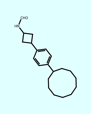 O=CNC1CC(c2ccc(C3CCCCCCCCC3)cc2)C1